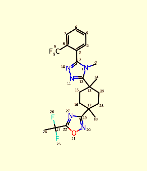 Cn1c(-c2ccccc2C(F)(F)F)nnc1C1(C)CCC(C)(c2noc(C(C)(F)F)n2)CC1